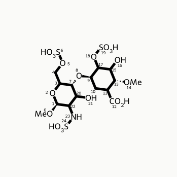 CO[C@H]1OC(COS(=O)(=O)O)[C@H](O[C@@H]2CC(C(=O)O)[C@@H](OC)C(O)C2OS(=O)(=O)O)C(O)C1NS(=O)(=O)O